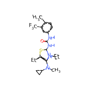 CCC1=C(N(C)C2CC2)N(CC)C(NC(=O)Nc2ccc(C)c(C(F)(F)F)c2)S1